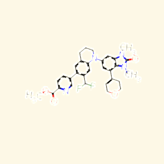 COC(=O)c1ccc(-c2cc3c(cc2C(F)F)N(c2cc(C4=CCOCC4)c4c(c2)n(C)c(=O)n4C)CCC3)cn1